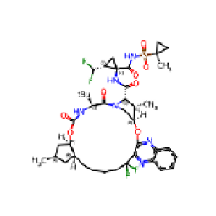 C[C@@H]1C[C@H]2CCCCC(F)(F)c3nc4ccccc4nc3O[C@H]3CN(C(=O)[C@H](C(C)(C)C)NC(=O)O[C@@H]2C1)[C@H](C(=O)N[C@]1(C(=O)NS(=O)(=O)C2(C)CC2)C[C@H]1C(F)F)[C@@H]3C